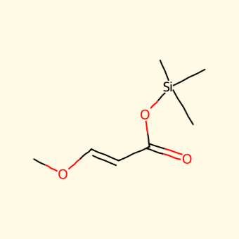 CO/C=C/C(=O)O[Si](C)(C)C